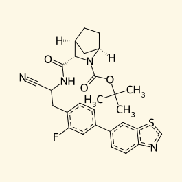 CC(C)(C)OC(=O)N1[C@@H]2CC[C@@H](C2)[C@H]1C(=O)NC(C#N)Cc1ccc(-c2ccc3ncsc3c2)cc1F